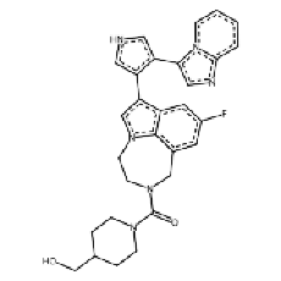 O=C(N1CCC(CO)CC1)N1CCn2cc(-c3c[nH]cc3-c3cnc4ccccn34)c3cc(F)cc(c32)C1